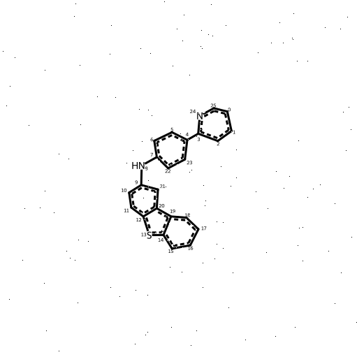 c1ccc(-c2ccc(Nc3ccc4sc5ccccc5c4c3)cc2)nc1